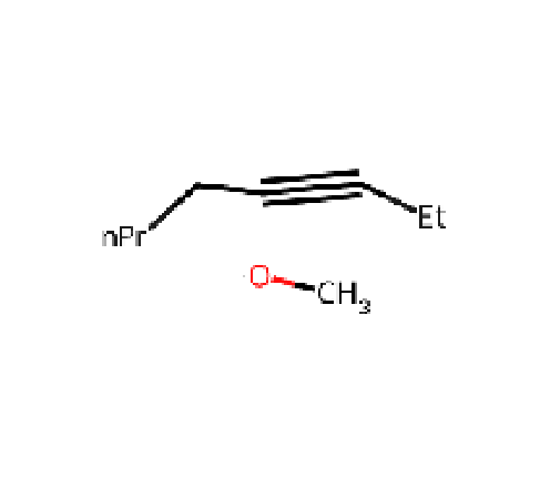 C[CH]CCC#CCC.C[O]